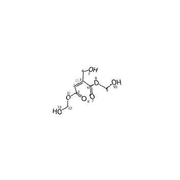 O=C(/C=C(/CO)C(=O)OCO)OCO